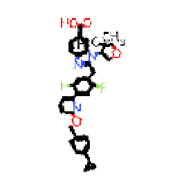 CC1(C)COCC1n1c(Cc2cc(F)c(-c3cccc(OCc4ccc(C5CC5)cc4)n3)cc2F)nc2ccc(C(=O)O)cc21